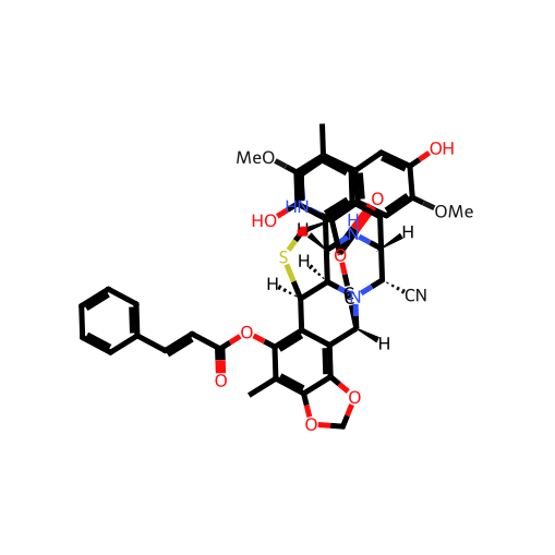 COc1cc2c(cc1O)CCN[C@]21CS[C@@H]2c3c(OC(=O)/C=C/c4ccccc4)c(C)c4c(c3[C@H](CCOC1=O)N1[C@@H]2[C@H]2N[C@H](Cc3cc(C)c(OC)c(O)c32)[C@@H]1C#N)OCO4